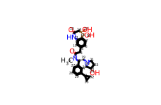 CN(C(=O)Cc1ccc2c(c1)NC(=O)CS2(O)O)[C@H](CN1CC[C@H](O)C1)c1cccc(C2CC2)c1